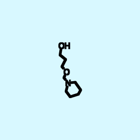 OCCCOCN1CCCCC1